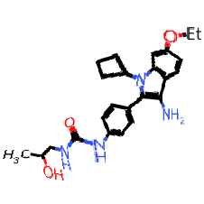 CCOc1ccc2c(N)c(-c3ccc(NC(=O)NCC(C)O)cc3)n(C3CCC3)c2c1